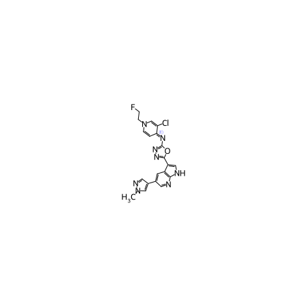 Cn1cc(-c2cnc3[nH]cc(-c4nnc(/N=c5\ccn(CCF)cc5Cl)o4)c3c2)cn1